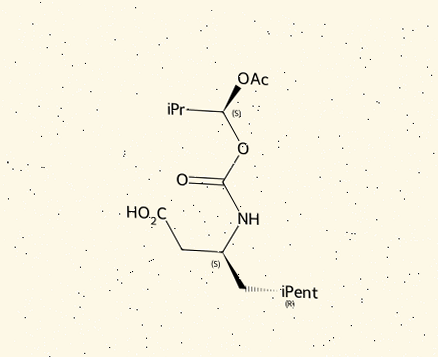 CCC[C@@H](C)C[C@@H](CC(=O)O)NC(=O)O[C@H](OC(C)=O)C(C)C